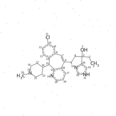 CCC(O)(CCC1=Cc2cc(Cl)ccc2C(C2CCN(C)CC2)c2ncccc21)c1c[nH]cn1